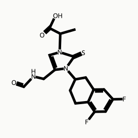 CC(C(=O)O)n1cc(CNC=O)n(C2CCc3c(F)cc(F)cc3C2)c1=S